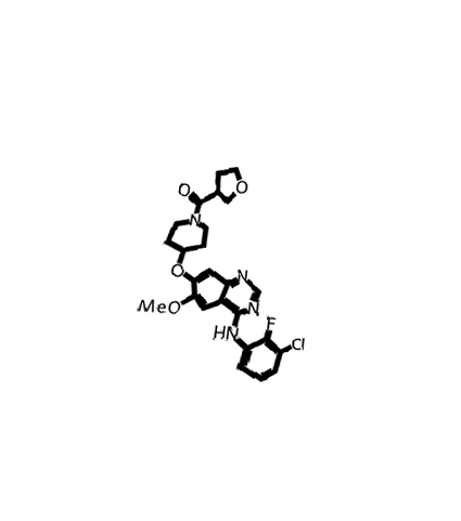 COc1cc2c(Nc3cccc(Cl)c3F)ncnc2cc1OC1CCN(C(=O)C2CCOC2)CC1